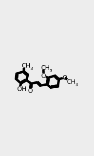 COc1ccc(/C=C/C(=O)c2cc(C)ccc2O)c(OC)c1